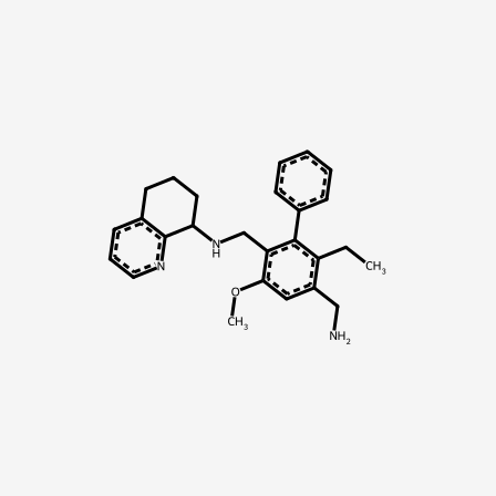 CCc1c(CN)cc(OC)c(CNC2CCCc3cccnc32)c1-c1ccccc1